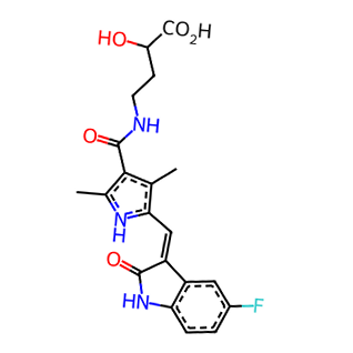 Cc1[nH]c(/C=C2\C(=O)Nc3ccc(F)cc32)c(C)c1C(=O)NCCC(O)C(=O)O